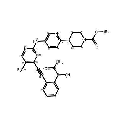 CC(C(N)=O)c1ccccc1C#Cc1nc(Nc2ccc(C3CCN(C(=O)OC(C)(C)C)CC3)nc2)ncc1C(F)(F)F